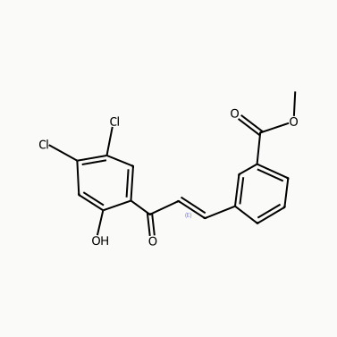 COC(=O)c1cccc(/C=C/C(=O)c2cc(Cl)c(Cl)cc2O)c1